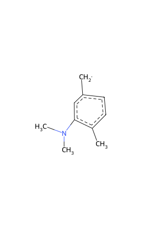 [CH2]c1ccc(C)c(N(C)C)c1